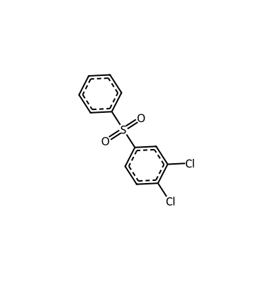 O=S(=O)(c1ccccc1)c1ccc(Cl)c(Cl)c1